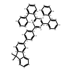 CC1(C)c2ccccc2-c2cc(-c3ccc(-c4nc(-c5ccccc5-c5ccccc5)nc(-c5ccccc5-c5ccccc5)n4)cc3)ccc21